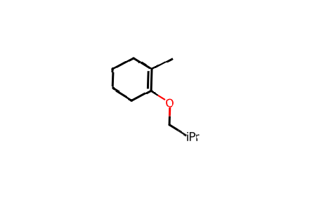 CC1=C(OCC(C)C)CCCC1